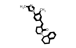 Cc1cn(-c2ccc(/C=C3\CCCN([C@H]4CCCc5ccccc54)C3=O)cc2C)cn1